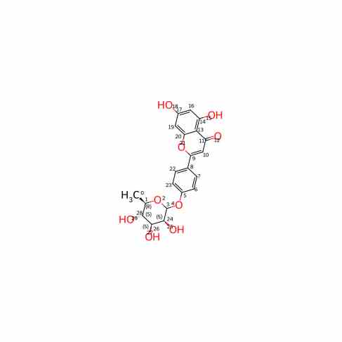 C[C@H]1OC(Oc2ccc(-c3cc(=O)c4c(O)cc(O)cc4o3)cc2)[C@@H](O)[C@@H](O)[C@@H]1O